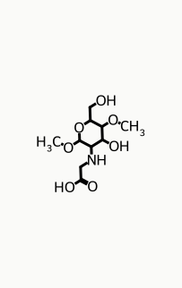 COC1OC(CO)C(OC)C(O)C1NCC(=O)O